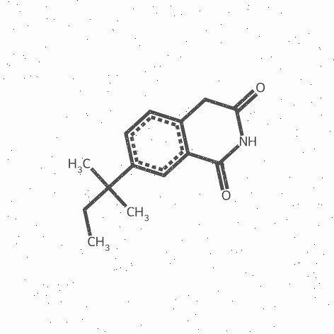 CCC(C)(C)c1ccc2c(c1)C(=O)NC(=O)C2